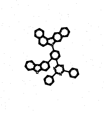 c1ccc(-c2nc(-c3ccccc3)nc(-c3ccc(-n4c5cc6ccccc6cc5c5c6ccccc6ccc54)cc3-c3ccc4oc5ccccc5c4c3)n2)cc1